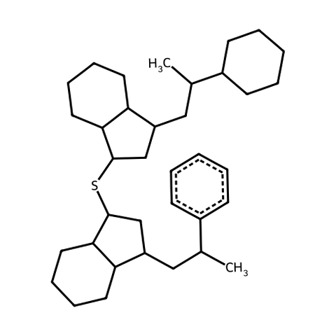 CC(CC1CC(SC2CC(CC(C)C3CCCCC3)C3CCCCC23)C2CCCCC12)c1ccccc1